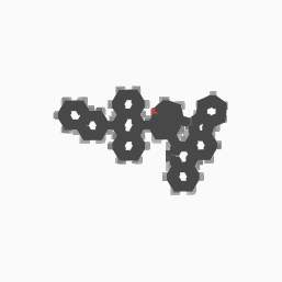 c1ccc(-n2c3ccccc3c3ccc4c5ccccc5nc(-c5cccc(-c6c7ccccc7c(-c7ccc8ccccc8c7)c7ccccc67)c5)c4c32)cc1